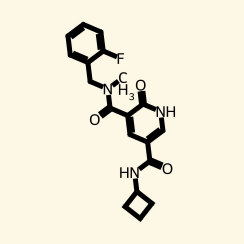 CN(Cc1ccccc1F)C(=O)c1cc(C(=O)NC2CCC2)c[nH]c1=O